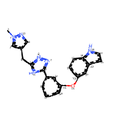 Cn1cc(Cc2nnc(-c3cccc(Oc4ccc5[nH]ccc5c4)c3)[nH]2)cn1